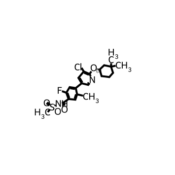 Cc1cc(C(=O)NS(C)(=O)=O)c(F)cc1-c1cnc(O[C@H]2CCCC(C)(C)C2)c(Cl)c1